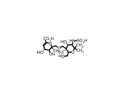 CC1(C)OC(CO)[C@@](C)(COC[C@@]2(C)OC(C(=O)O)=C[C@@H](O)C2O)[C@@H](O)C1NS(=O)(=O)O